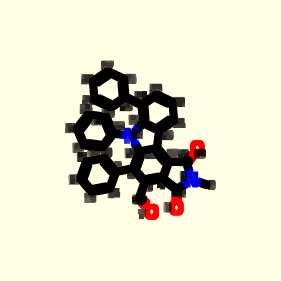 CN1C(=O)c2c(C=O)c(-c3ccccc3)c3c(c2C1=O)c1cccc(-c2ccccc2)c1n3-c1ccccc1